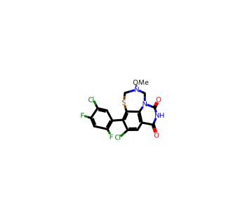 CON1CSc2c(-c3cc(Cl)c(F)cc3F)c(Cl)cc3c(=O)[nH]c(=O)n(c23)C1